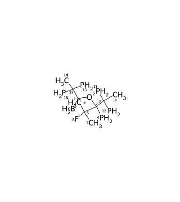 BC(OC(P)(C(C)(C)F)C(C)(P)P)C(C)(P)P